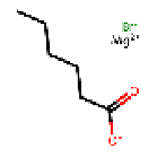 CCCCCC(=O)[O-].[Br-].[Mg+2]